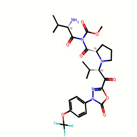 COC(=O)N(C(=O)[C@@H](N)C(C)C)C(=O)[C@@H]1CCCN1[C@H](C(=O)c1nn(-c2ccc(OC(F)(F)F)cc2)c(=O)o1)C(C)C